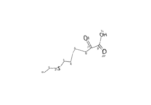 CCSCCCCC(=O)C(=O)O